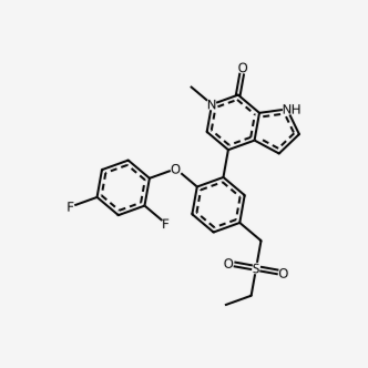 CCS(=O)(=O)Cc1ccc(Oc2ccc(F)cc2F)c(-c2cn(C)c(=O)c3[nH]ccc23)c1